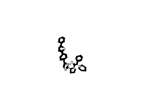 O=C([C@H](c1ccccc1)N1CCCCC1)N1CCC[C@H]1c1ncc(-c2ccc(-c3ccc(-c4ccccc4)s3)cc2)[nH]1